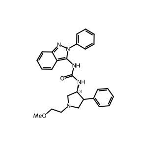 COCCN1CC(c2ccccc2)[C@H](NC(=O)Nc2c3ccccc3nn2-c2ccccc2)C1